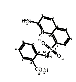 Nc1ccc2cccc(S(=O)(=O)Nc3ccccc3C(=O)O)c2n1